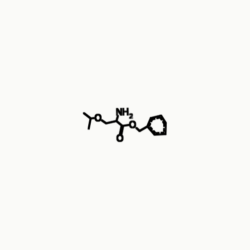 CC(C)OCC(N)C(=O)OCc1ccccc1